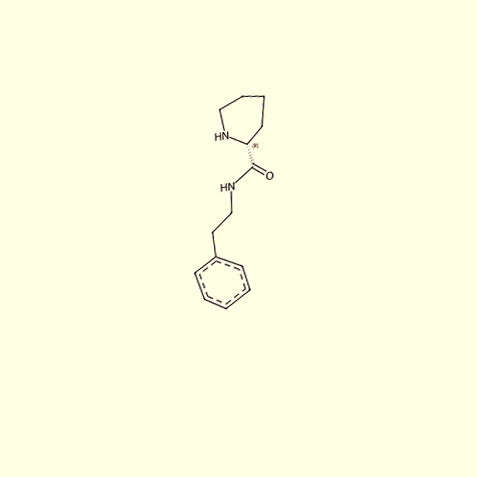 O=C(NCCc1ccccc1)[C@H]1CCCCN1